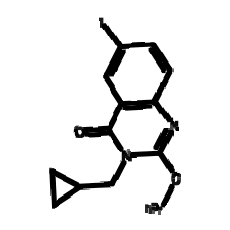 CCCOc1nc2ccc(I)cc2c(=O)n1CC1CC1